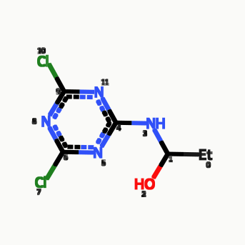 CCC(O)Nc1nc(Cl)nc(Cl)n1